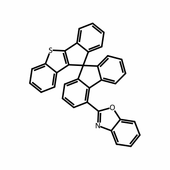 c1ccc2c(c1)-c1sc3ccccc3c1C21c2ccccc2-c2c(-c3nc4ccccc4o3)cccc21